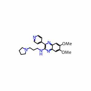 COc1cc2nc(NCCCN3CCCC3)c(-c3ccncc3)nc2cc1OC